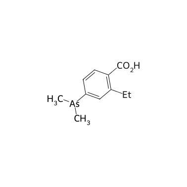 CCc1cc([As](C)C)ccc1C(=O)O